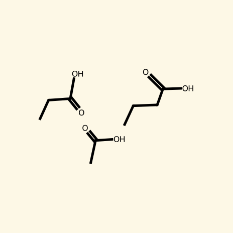 CC(=O)O.CCC(=O)O.CCCC(=O)O